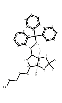 CC1(C)O[C@@H]2C(COC(c3ccccc3)(c3ccccc3)c3ccccc3)OC(CCCCO)[C@@H]2O1